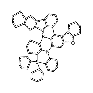 c1ccc(S2(c3ccccc3)c3ccccc3N3c4cc5oc6ccccc6c5c5c4B(c4cccc2c43)n2c3cc4ccccc4cc3c3cccc-5c32)cc1